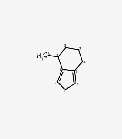 CC1CCCC2=CCC=C21